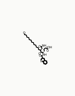 NC(=O)C[C@H](CCCCCCCCCCCCC=O)C(=O)[C@H](CCCC(=O)O)NC(=O)c1cnc2ccccc2c1